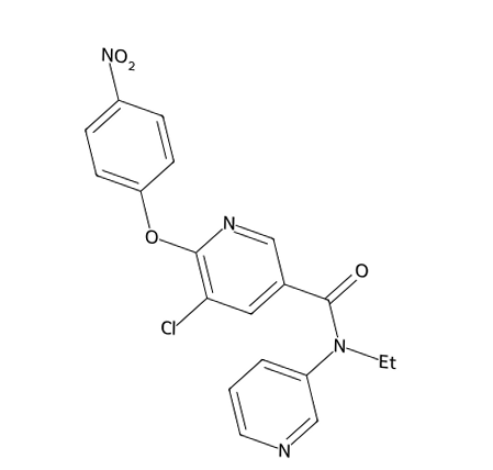 CCN(C(=O)c1cnc(Oc2ccc([N+](=O)[O-])cc2)c(Cl)c1)c1cccnc1